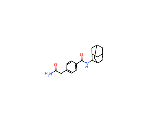 NC(=O)Cc1ccc(C(=O)NC2C3CC4CC(C3)CC2C4)cc1